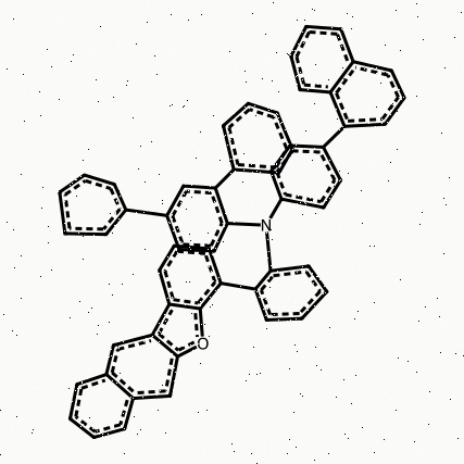 c1ccc(-c2ccc(N(c3ccc(-c4cccc5ccccc45)cc3)c3ccccc3-c3cccc4c3oc3cc5ccccc5cc34)c(-c3ccccc3)c2)cc1